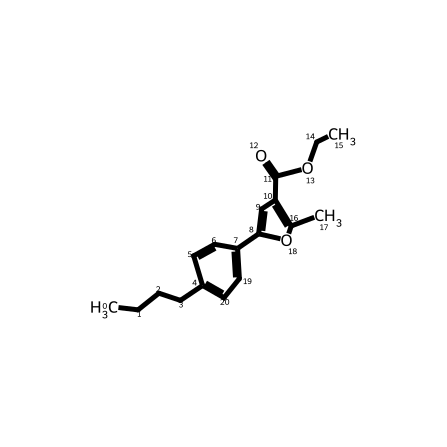 CCCCc1ccc(-c2cc(C(=O)OCC)c(C)o2)cc1